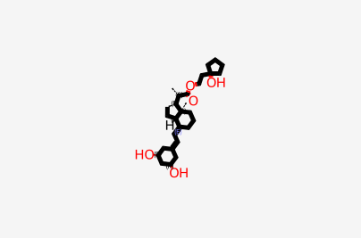 C[C@H](C(=O)OCCC1(O)CCCC1)[C@H]1CC[C@H]2/C(=C/C=C3C[C@@H](O)C[C@H](O)C3)CCC[C@]12C